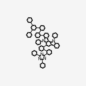 c1ccc(-c2cc(-c3ccccc3)cc(-c3ccccc3-c3ccccc3-c3cccc4c5c(c(-c6ccccc6-c6ccccc6-c6nc(-c7ccccc7)nc(-c7ccccc7)n6)cc6c7ccccc7n(-c7ccccc7)c65)n(-c5ccccc5)c34)c2)cc1